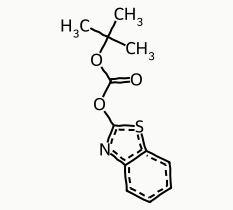 CC(C)(C)OC(=O)Oc1nc2ccccc2s1